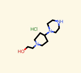 Cl.OCCN1CCC(N2CCNCC2)CC1